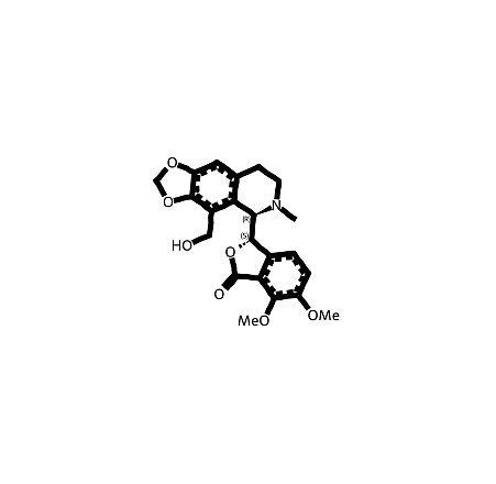 COc1ccc2c(c1OC)C(=O)O[C@@H]2[C@H]1c2c(cc3c(c2CO)OCO3)CCN1C